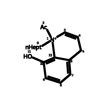 CCCCCCC[N+]1(C(C)=O)C=CCc2cccc(O)c21